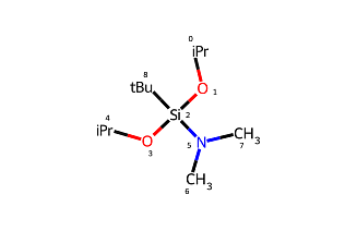 CC(C)O[Si](OC(C)C)(N(C)C)C(C)(C)C